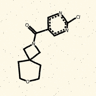 O=C(c1cnc(Cl)nc1)N1CC2(CCOCC2)C1